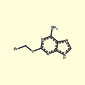 CC(C)CSc1nc(N)c2nc[nH]c2n1